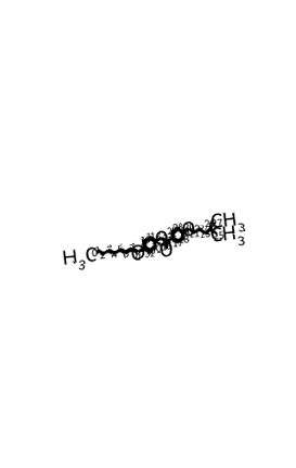 CCCCCCC=COc1ccc(OC(=O)c2ccc(OCCCC(C)CC)cc2)cc1